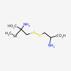 C[Se]C(N)(CSSCC(N)C(=O)O)C(=O)O